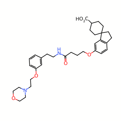 O=C(CCCOc1ccc2c(c1)C1(CC2)CCC(C(=O)O)CC1)NCCc1cccc(OCCN2CCOCC2)c1